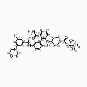 Cc1ccc(NC(=O)c2cc(F)cc(N3CCOCC3)c2)cc1-c1c(OC2CCN(C(=O)OC(C)(C)C)CC2)cccc1C(N)=O